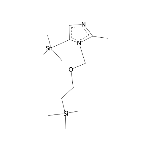 Cc1nc[c]([Sn]([CH3])([CH3])[CH3])n1COCC[Si](C)(C)C